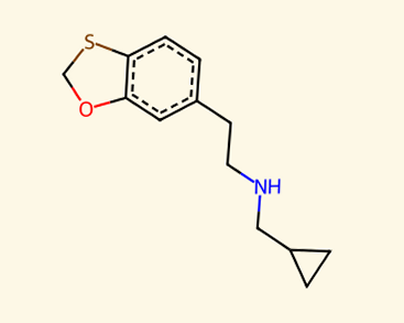 c1cc2c(cc1CCNCC1CC1)OCS2